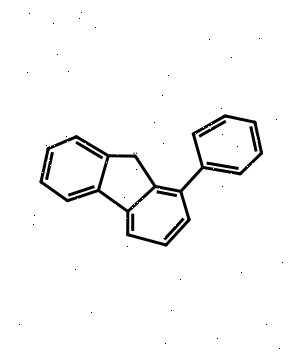 [C]1c2ccccc2-c2cccc(-c3ccccc3)c21